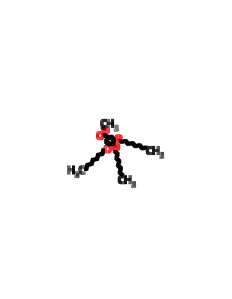 CCCCCCCCCOc1cc(C(=O)OCC)cc(OCCCCCCCCC)c1OCCCCCCCCC